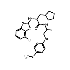 CC(CNc1ccc(OC(F)(F)F)cc1)NC(=O)C(CC1CCCC1)Nc1nc2cccc(Cl)c2o1